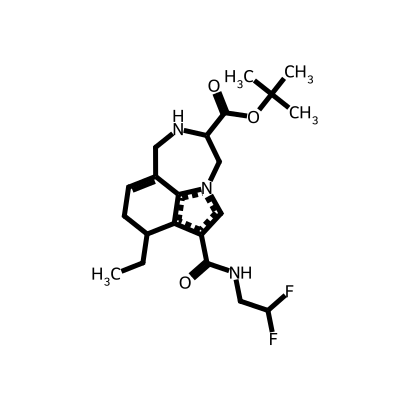 CCC1CC=C2CNC(C(=O)OC(C)(C)C)Cn3cc(C(=O)NCC(F)F)c1c32